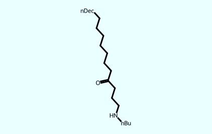 CCCCCCCCCCCCCCCCCC(=O)CCCNCCCC